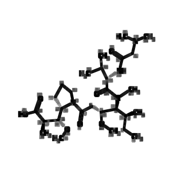 CC[C@H](C)[C@@H]([C@@H](CC(=O)N1CCC[C@H]1[C@H](OC)[C@@H](C)C(=O)O)OC)N(C)C(=O)[C@@H](NC(=O)CN(C)C)C(C)C